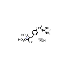 CC(N=C(N)N)Oc1ccc(C/C(C(=O)O)=C(/C(=O)O)C(C)C)cc1.[NaH].[NaH]